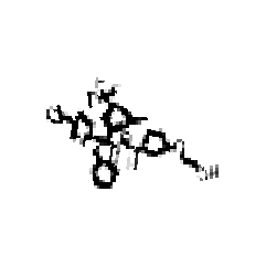 O=C(NC1CCC(OCCO)C1)N[C@@](Cc1ccccc1)(c1cc(F)cc(C(F)(F)F)c1)c1ccc(Cl)cn1